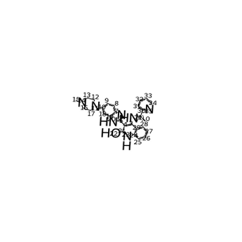 C[C@@H](NC1=C(c2nc3ccc(N4CCN(C)CC4)cc3[nH]2)C(O)Nc2ccccc21)c1ccccn1